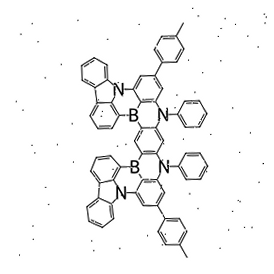 Cc1ccc(-c2cc3c4c(c2)-n2c5ccccc5c5cccc(c52)B4c2cc4c(cc2N3c2ccccc2)N(c2ccccc2)c2cc(-c3ccc(C)cc3)cc3c2B4c2cccc4c5ccccc5n-3c24)cc1